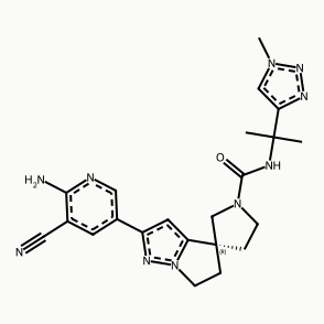 Cn1cc(C(C)(C)NC(=O)N2CC[C@@]3(CCn4nc(-c5cnc(N)c(C#N)c5)cc43)C2)nn1